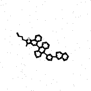 C=CCCc1oc2c(cc(-c3c4ccccc4c(-c4cccc(-c5ccc6ccccc6c5)c4)c4ccccc34)c3ccccc32)c1C